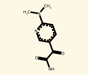 CN(C)c1ccc(C(=O)C([NH])=O)cn1